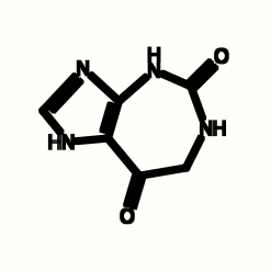 O=C1NCC(=O)c2[nH]cnc2N1